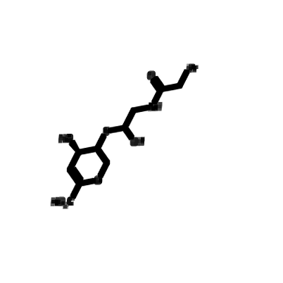 CC(C)CC(=O)NCC(O)SC1COC(C(=O)O)=C[C@H]1O